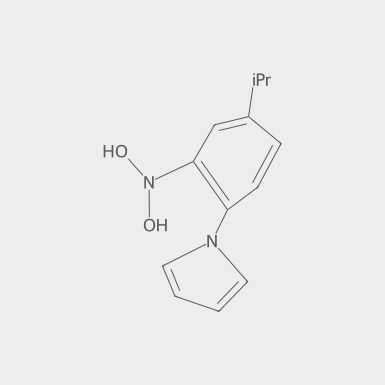 CC(C)c1ccc(-n2cccc2)c(N(O)O)c1